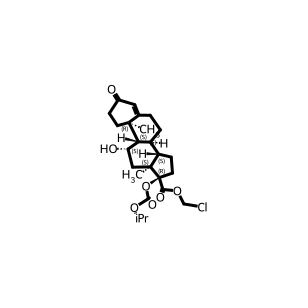 CC(C)OC(=O)O[C@]1(C(=O)OCCl)CC[C@H]2[C@@H]3CCC4=CC(=O)CC[C@]4(C)[C@H]3[C@@H](O)C[C@@]21C